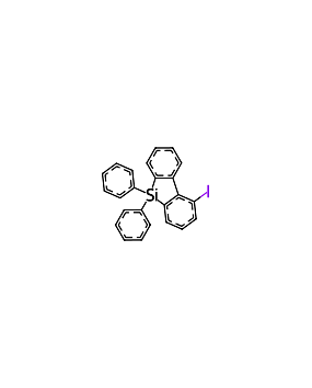 Ic1cccc2c1-c1ccccc1[Si]2(c1ccccc1)c1ccccc1